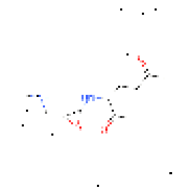 CNC[C@H]1OC1NC(CCC(C)=O)C(C)=O